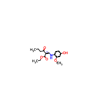 CCCC(=O)/C(=C/Nc1ccc(O)cc1OC)C(=O)OCC